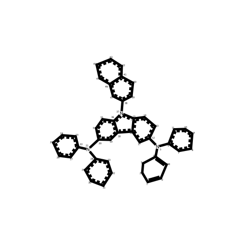 C1=CCCC(N(c2ccccc2)c2ccc3c(c2)c2cc(N(c4ccccc4)c4ccccc4)ccc2n3-c2ccc3ccccc3c2)=C1